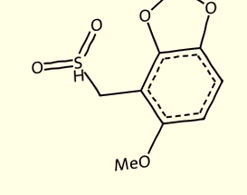 COc1ccc2c(c1C[SH](=O)=O)OCO2